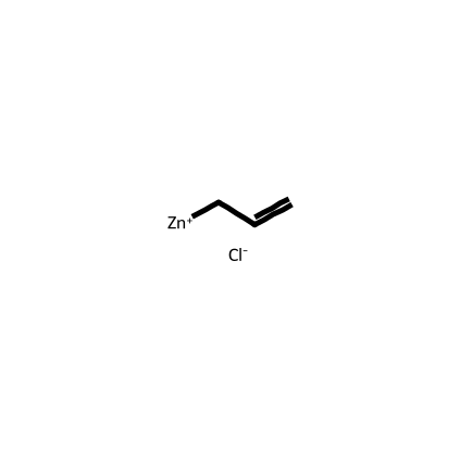 C=C[CH2][Zn+].[Cl-]